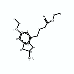 CCOC(=O)CCCc1cc(OCC)cc2c1CC(N)C2